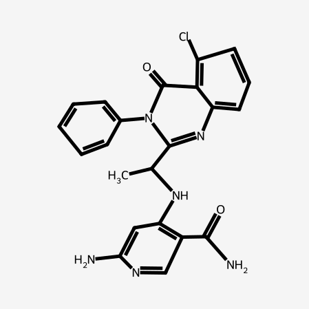 CC(Nc1cc(N)ncc1C(N)=O)c1nc2cccc(Cl)c2c(=O)n1-c1ccccc1